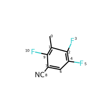 Cc1c(F)c(F)cc(C#N)c1F